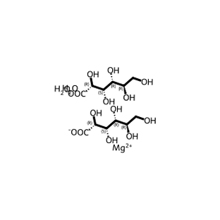 O.O.O=C([O-])[C@H](O)[C@@H](O)[C@H](O)[C@H](O)CO.O=C([O-])[C@H](O)[C@@H](O)[C@H](O)[C@H](O)CO.[Mg+2]